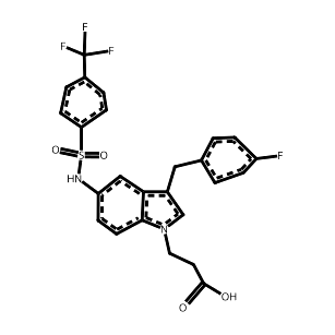 O=C(O)CCn1cc(Cc2ccc(F)cc2)c2cc(NS(=O)(=O)c3ccc(C(F)(F)F)cc3)ccc21